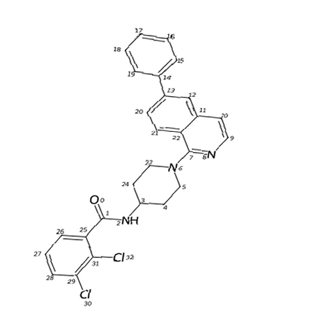 O=C(NC1CCN(c2nccc3cc(-c4ccccc4)ccc23)CC1)c1cccc(Cl)c1Cl